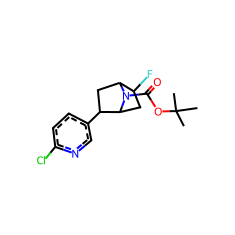 CC(C)(C)OC(=O)N1C2CC(c3ccc(Cl)nc3)C1CC2F